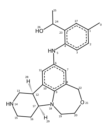 Cc1ccc(Nc2cc3c4c(c2)[C@@H]2CNCC[C@@H]2N4CCOC3)c(C(C)O)c1